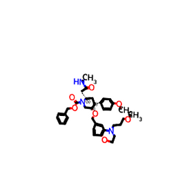 CNC(=O)C[C@@H]1C[C@H](c2ccc(OC)cc2)[C@@H](OCc2ccc3c(c2)N(CCCOC)CCO3)CN1C(=O)OCc1ccccc1